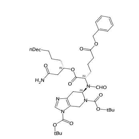 CCCCCCCCCCCCC[C@@H](CC(N)=O)OC(=O)[C@H](CCCC(=O)OCc1ccccc1)N(C=O)[C@@H]1Cc2ncn(C(=O)OC(C)(C)C)c2CN1C(=O)OC(C)(C)C